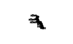 CCCCCCCCCCCCC(=O)NC(CSCC(COC(=O)CCCCCCCCCCCC)OC(=O)CCCCCCCCCCCC)C(=O)Nc1cn([C@H]2OC(CO)[C@@H](O)[C@@H]2O)nn1